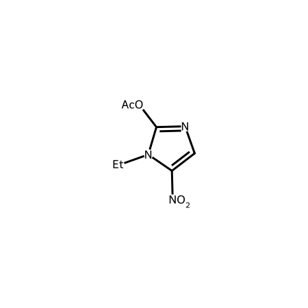 CCn1c([N+](=O)[O-])cnc1OC(C)=O